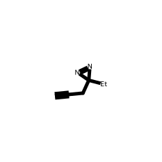 C#CCC1(CC)N=N1